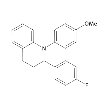 COc1ccc(N2c3ccccc3CCC2c2ccc(F)cc2)cc1